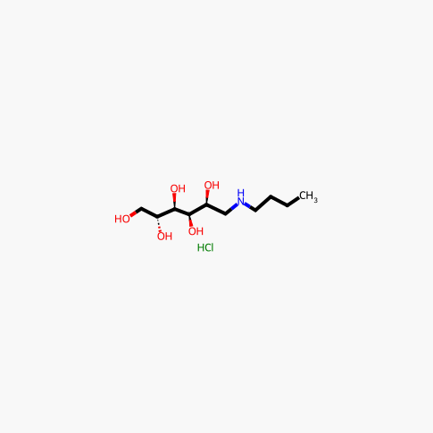 CCCCNC[C@H](O)[C@@H](O)[C@H](O)[C@H](O)CO.Cl